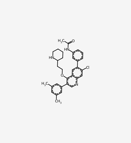 CC(=O)Nc1cccc(-c2cc3c(OCCC4CCCCN4)c(-c4cc(C)cc(C)c4)cnc3cc2Cl)c1